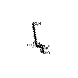 O=CNCC(=O)NC(CC(=O)NCCC(NC(=O)CCCCCCCCCCCCCCCCC(=O)O)C(=O)O)C(=O)O